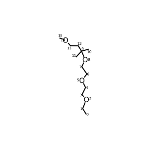 CCOCCOCCOC(C)(C)CCOC